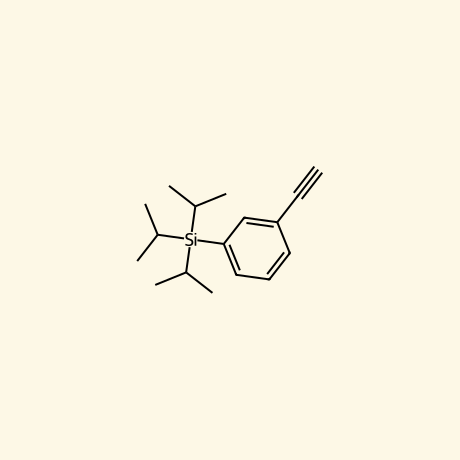 C#Cc1cccc([Si](C(C)C)(C(C)C)C(C)C)c1